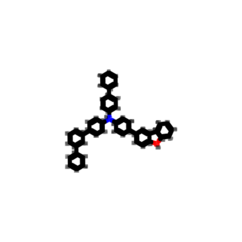 c1ccc(-c2ccc(N(c3ccc(-c4cccc(-c5ccccc5)c4)cc3)c3ccc(-c4ccc5oc6ccccc6c5c4)cc3)cc2)cc1